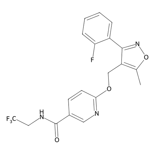 Cc1onc(-c2ccccc2F)c1COc1ccc(C(=O)NCC(F)(F)F)cn1